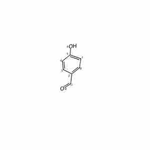 O=[C]c1ccc(O)cc1